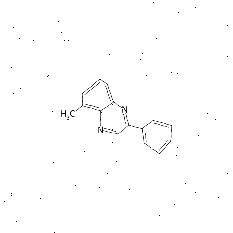 Cc1cccc2nc(-c3ccccc3)cnc12